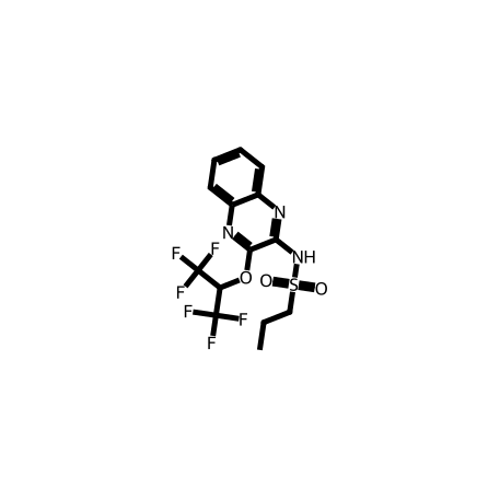 CCCS(=O)(=O)Nc1nc2ccccc2nc1OC(C(F)(F)F)C(F)(F)F